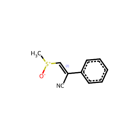 C[S+]([O-])/C=C(\C#N)c1ccccc1